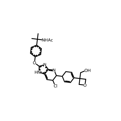 CC(=O)NC(C)(C)c1ccc(Oc2nc3c([nH]2)=CC(Cl)C(C2C=CC(C4(CO)COC4)=CC2)N=3)cc1